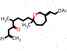 C=C(CC(=O)C(C)CCCC1(C)CCCC(=CCOC(C)=O)CO1)C(C)C